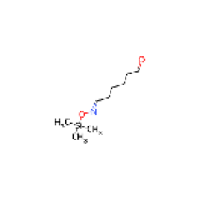 C[Si](C)(C)ON=CCCCCC=O